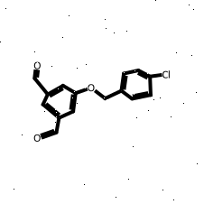 O=Cc1cc(C=O)cc(OCc2ccc(Cl)cc2)c1